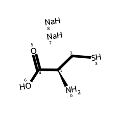 N[C@H](CS)C(=O)O.[NaH].[NaH]